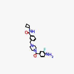 Nc1ccc(C(=O)N2CCN(Cc3cccc(C(=O)NC4CCC4)c3)CC2)cc1F